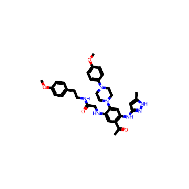 COc1ccc(CCNC(=O)CNc2cc(C(C)=O)c(Nc3cc(C)[nH]n3)cc2N2CCN(c3ccc(OC)cc3)CC2)cc1